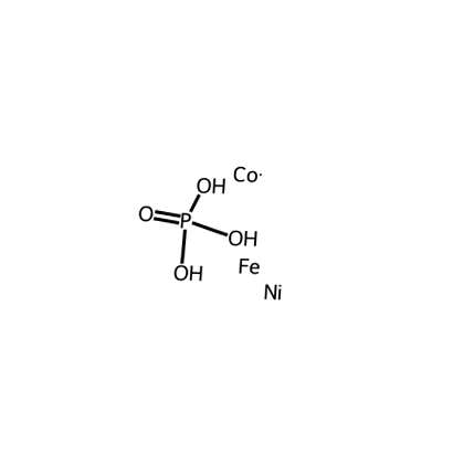 O=P(O)(O)O.[Co].[Fe].[Ni]